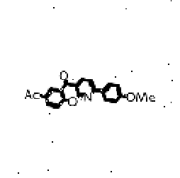 COc1ccc(-c2ccc3c(=O)c4cc(C(C)=O)ccc4oc3n2)cc1